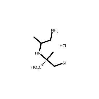 CC(CN)N[C@@](C)(CS)C(=O)O.Cl